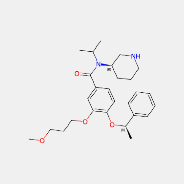 COCCCOc1cc(C(=O)N(C(C)C)[C@@H]2CCCNC2)ccc1O[C@H](C)c1ccccc1